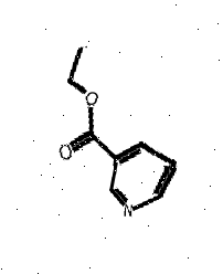 [CH2]COC(=O)c1cccnc1